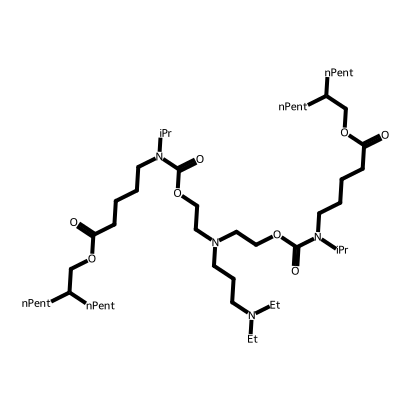 CCCCCC(CCCCC)COC(=O)CCCCN(C(=O)OCCN(CCCN(CC)CC)CCOC(=O)N(CCCCC(=O)OCC(CCCCC)CCCCC)C(C)C)C(C)C